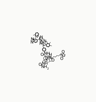 Cc1cccc(-c2nc(CN(Cc3cccc(C)c3C)C(=O)OCc3ccc(NC(=O)C(CCCNC(N)=O)NC(=O)C(NC(=O)CCCCCN4C(=O)C=CC4=O)C(C)C)cc3)[nH]c2-c2ccc3ncnn3c2)n1